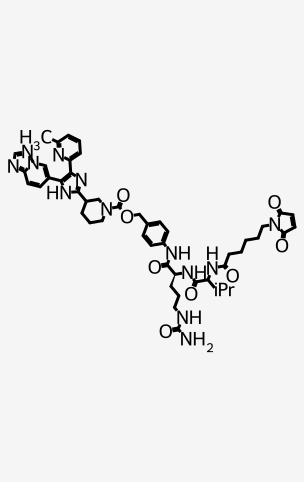 Cc1cccc(-c2nc(C3CCCN(C(=O)OCc4ccc(NC(=O)[C@H](CCCNC(N)=O)NC(=O)C(NC(=O)CCCCCN5C(=O)C=CC5=O)C(C)C)cc4)C3)[nH]c2-c2ccc3ncnn3c2)n1